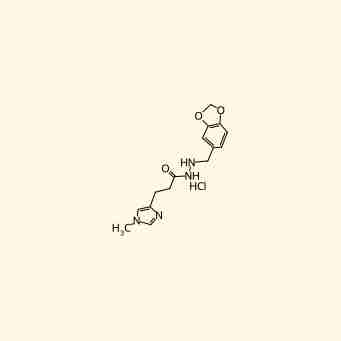 Cl.Cn1cnc(CCC(=O)NNCc2ccc3c(c2)OCO3)c1